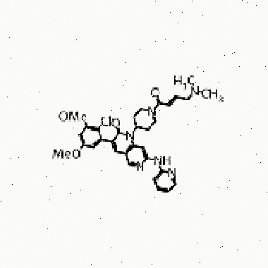 COc1cc(OC)c(Cl)c(-c2cc3cnc(Nc4ccccn4)cc3n(C3CCN(C(=O)/C=C/CN(C)C)CC3)c2=O)c1